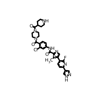 Cn1c(-c2ccc(-c3cn[nH]c3)nc2F)cnc1C(=O)Nc1ccc(C(=O)N2CCN(C(=O)C3CCNCC3)CC2)c(Cl)c1